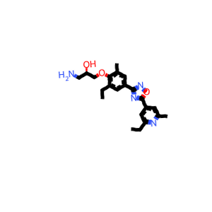 CCc1cc(-c2nc(-c3cc(C)c(OC[C@H](O)CN)c(CC)c3)no2)cc(C)n1